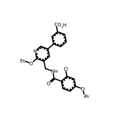 CCOc1ncc(-c2cccc(C(=O)O)c2)cc1CNC(=O)c1ccc(OC(C)C)cc1Cl